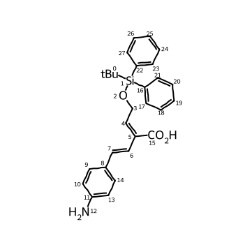 CC(C)(C)[Si](OCC=C(C=Cc1ccc(N)cc1)C(=O)O)(c1ccccc1)c1ccccc1